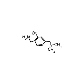 CN(C)Cc1ccc(CN)c(Br)c1